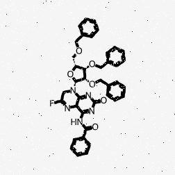 O=C1N=C(NC(=O)c2ccccc2)C2N=C(F)CN([C@@H]3O[C@H](COCc4ccccc4)[C@@H](OCc4ccccc4)[C@H]3OCc3ccccc3)C2=N1